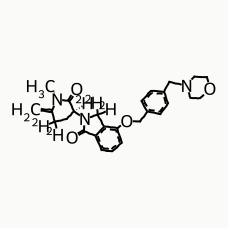 [2H]C1([2H])C[C@]([2H])(N2C(=O)c3cccc(OCc4ccc(CN5CCOCC5)cc4)c3C2([2H])[2H])C(=O)N(C)C1=C